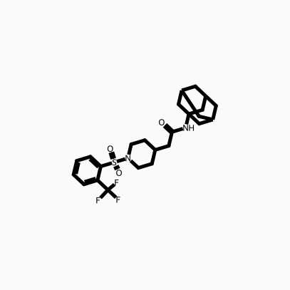 O=C(CC1CCN(S(=O)(=O)c2ccccc2C(F)(F)F)CC1)NC12CC3CC(CC(C3)C1)C2